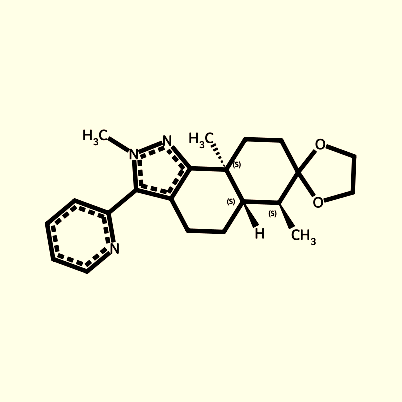 C[C@H]1[C@@H]2CCc3c(nn(C)c3-c3ccccn3)[C@@]2(C)CCC12OCCO2